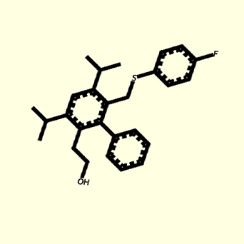 CC(C)c1cc(C(C)C)c(CSc2ccc(F)cc2)c(-c2ccccc2)c1CCO